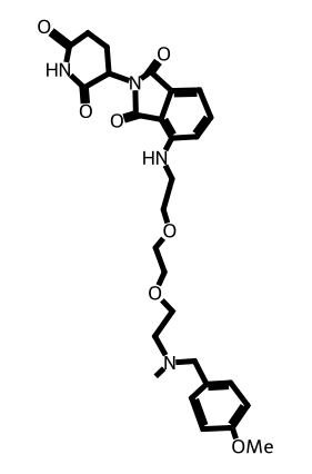 COc1ccc(CN(C)CCOCCOCCNc2cccc3c2C(=O)N(C2CCC(=O)NC2=O)C3=O)cc1